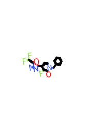 O=c1c(F)c(-c2nnc(C(F)F)o2)ccn1Cc1ccccc1